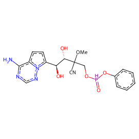 COC(C#N)(CO[PH](=O)Oc1ccccc1)[C@@H](O)[C@@H](O)c1ccc2c(N)ncnn12